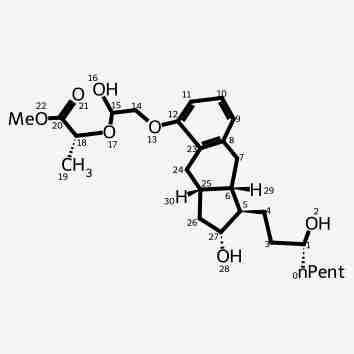 CCCCC[C@@H](O)CC[C@@H]1[C@H]2Cc3cccc(OCC(O)O[C@H](C)C(=O)OC)c3C[C@H]2C[C@H]1O